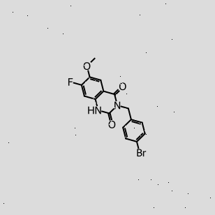 COc1cc2c(=O)n(Cc3ccc(Br)cc3)c(=O)[nH]c2cc1F